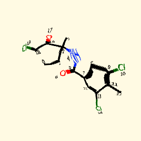 CCC(C)(NC(=O)c1cc(Cl)c(C)c(Cl)c1)C(=O)CCl